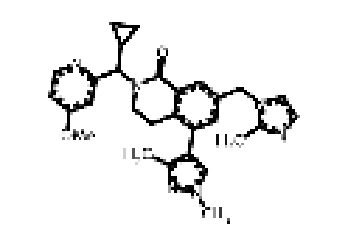 COc1ccnc(C(C2CC2)N2CCc3c(cc(Cn4ccnc4C)cc3-c3cn(C)nc3C)C2=O)c1